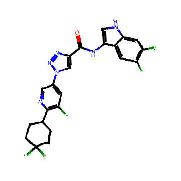 O=C(Nc1c[nH]c2cc(F)c(F)cc12)c1cn(-c2cnc(C3CCC(F)(F)CC3)c(F)c2)nn1